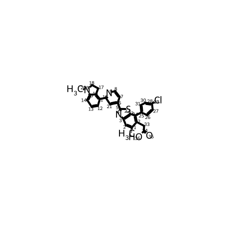 Cc1cc2nc(-c3ccnc(-c4cccc5c4CCN5C)c3)sc2c(-c2ccc(Cl)cc2)c1CC(=O)O